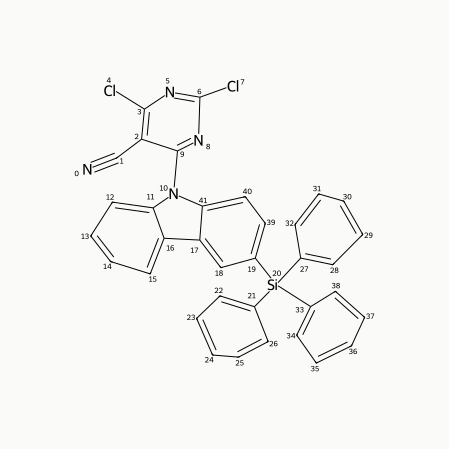 N#Cc1c(Cl)nc(Cl)nc1-n1c2ccccc2c2cc([Si](c3ccccc3)(c3ccccc3)c3ccccc3)ccc21